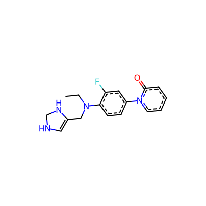 CCN(CC1=CNCN1)c1ccc(-n2ccccc2=O)cc1F